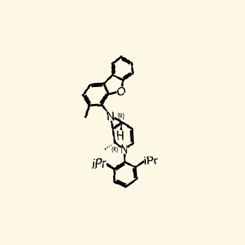 Cc1ccc2c(oc3ccccc32)c1N1C2[C@@H](C)N(c3c(C(C)C)cccc3C(C)C)C=C[C@H]21